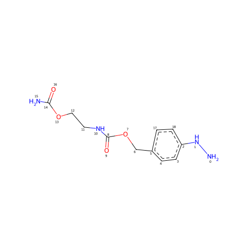 NNc1ccc(COC(=O)NCCOC(N)=O)cc1